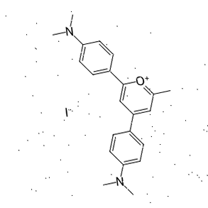 Cc1cc(-c2ccc(N(C)C)cc2)cc(-c2ccc(N(C)C)cc2)[o+]1.[I-]